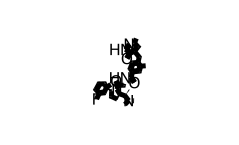 Cc1cc(Cc2ccc(C(=O)NCC(=O)N3[C@@H]([C@H](C)N(C)C)CC[C@H]3C3(C)C=C(F)C=CC3)cc2C)c(=O)[nH]n1